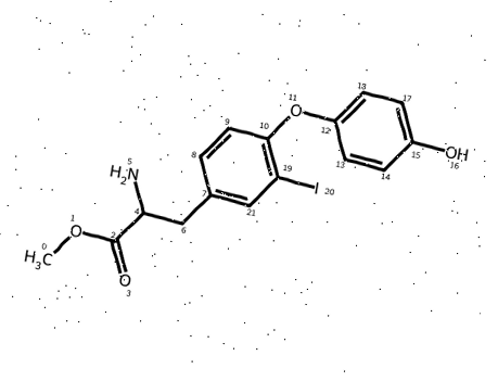 COC(=O)C(N)Cc1ccc(Oc2ccc(O)cc2)c(I)c1